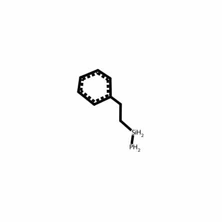 P[SiH2]CCc1ccccc1